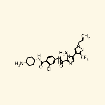 C=CCn1cc(-c2cnc(C(=O)Nc3ccc(C(=O)N[C@H]4CC[C@@H](N)CC4)c(Cl)c3)n2C)c(C(F)(F)F)n1